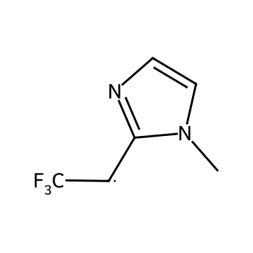 Cn1ccnc1[CH]C(F)(F)F